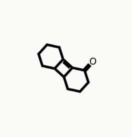 O=C1CCCC2C1=C1CCCCC12